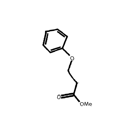 COC(=O)[CH]COc1ccccc1